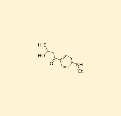 CCNc1ccc(C(=O)CC(C)O)cc1